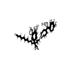 CCCCCCCCCCC(C#N)(CCCN1CCC(C(O)c2ccc(F)cc2)CC1)c1ccc(OC)c(OC)c1